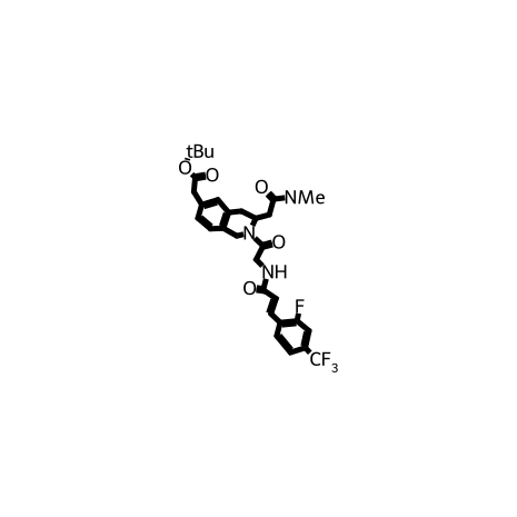 CNC(=O)CC1Cc2cc(CC(=O)OC(C)(C)C)ccc2CN1C(=O)CNC(=O)/C=C/c1ccc(C(F)(F)F)cc1F